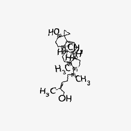 CC(=CCC[C@@H](C)[C@H]1CC[C@H]2[C@@H]3CC=C4C5(CC5)[C@@H](O)CC[C@]4(C)[C@H]3CC[C@]12C)CO